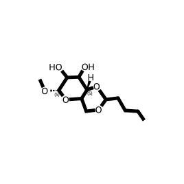 CCCCC1OCC2O[C@H](OC)C(O)C(O)[C@@H]2O1